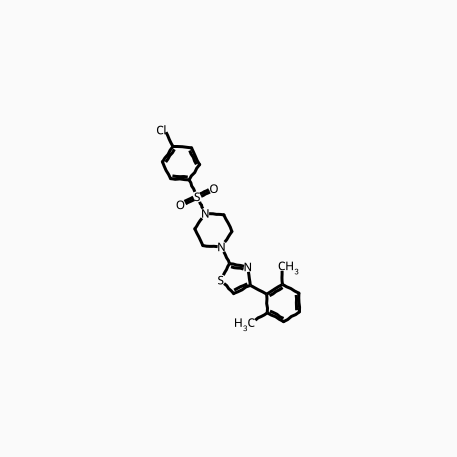 Cc1cccc(C)c1-c1csc(N2CCN(S(=O)(=O)c3ccc(Cl)cc3)CC2)n1